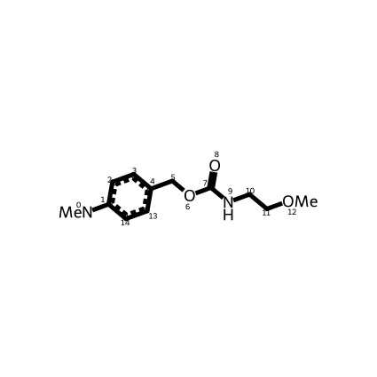 CNc1ccc(COC(=O)NCCOC)cc1